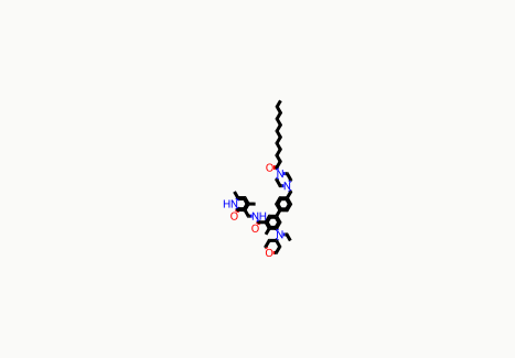 CCCCCCCCCCCC(=O)N1CCN(Cc2ccc(-c3cc(C(=O)NCc4c(C)cc(C)[nH]c4=O)c(C)c(N(CC)C4CCOCC4)c3)cc2)CC1